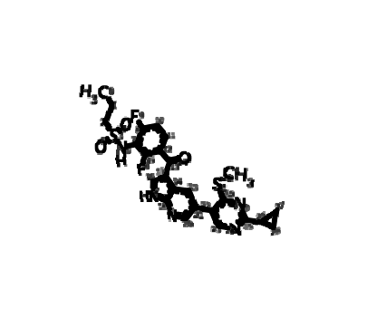 CCCS(=O)(=O)Nc1c(F)ccc(C(=O)c2c[nH]c3ncc(-c4cnc(C5CC5)nc4SC)cc23)c1F